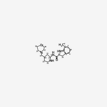 Cc1cccc2c1NC(C(=O)NC1CC(CN3CCOCC3)CCN1)C2